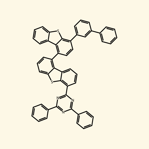 c1ccc(-c2cccc(-c3ccc(-c4cccc5sc6c(-c7nc(-c8ccccc8)nc(-c8ccccc8)n7)cccc6c45)c4c3sc3ccccc34)c2)cc1